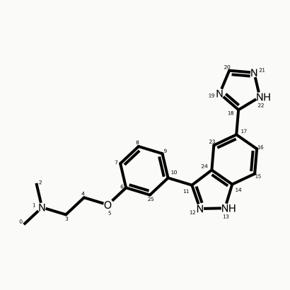 CN(C)CCOc1cccc(-c2n[nH]c3ccc(-c4ncn[nH]4)cc23)c1